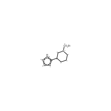 CCOC(=O)N1CCCC(c2nnn[nH]2)C1